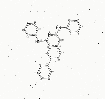 c1ccc(Nc2nc(Nc3ccccc3)c3cc(-c4ccccc4)ccc3n2)cc1